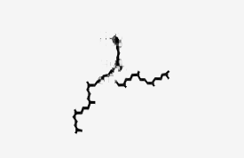 CC(C)CCCC(C)CCCC(C)CCCC(C)CCOCC(COP(=O)(O)OCCCOP(=O)(O)O)OCCC(C)CCCC(C)CCCC(C)CCCC(C)C